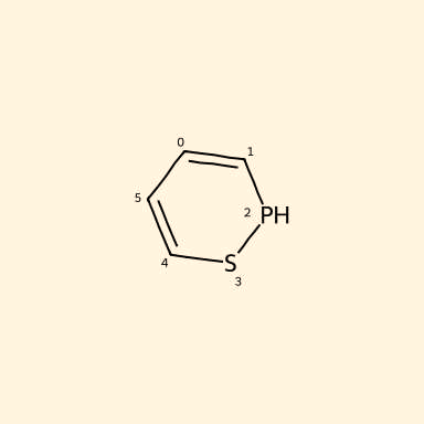 C1=CPSC=C1